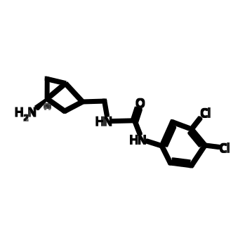 N[C@]12CC(CNC(=O)Nc3ccc(Cl)c(Cl)c3)C1C2